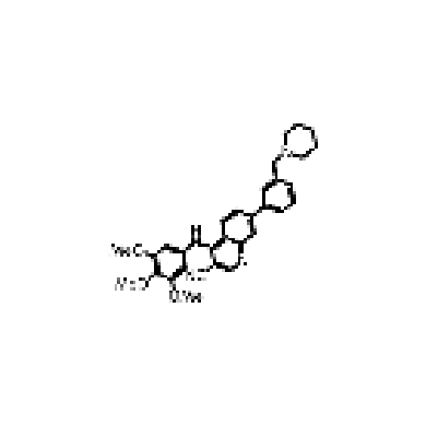 COc1cc(Nc2c(C#N)cnc3cc(-c4cccc(CN5CCCCC5)c4)ccc23)cc(OC)c1OC